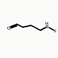 O=CCCCBF